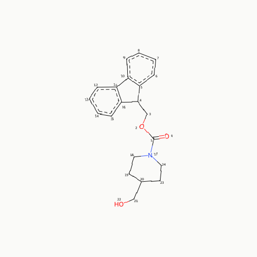 O=C(OCC1c2ccccc2-c2ccccc21)N1CCC(CO)CC1